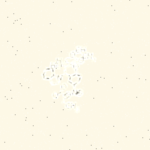 CCOC(=O)O[C@@H]1Cc2ccccc2N1[C@@H]1c2cc([N+](=O)[O-])ccc2O[C@](C)(C(OC)OC)[C@H]1O